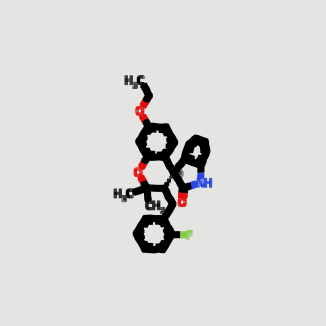 CCOc1ccc2c(c1)OC(C)(C)C(Cc1ccccc1F)[C@]21C(=O)Nc2ccccc21